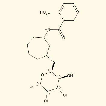 C[C@@H]1O[C@@H](SC2CCCCC(NC(=O)c3ccccc3C(=O)O)C2)[C@@H](O)[C@H](O)[C@@H]1O